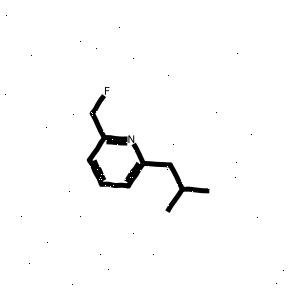 C[C](C)Cc1cccc(CF)n1